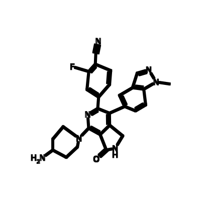 Cn1ncc2cc(-c3c(-c4ccc(C#N)c(F)c4)nc(N4CCC(N)CC4)c4c3CNC4=O)ccc21